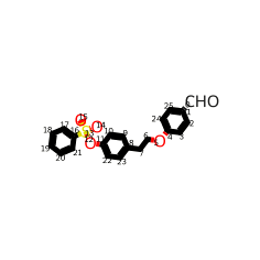 O=Cc1ccc(OCCc2ccc(OS(=O)(=O)c3ccccc3)cc2)cc1